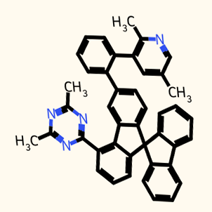 Cc1cnc(C)c(-c2ccccc2-c2ccc3c(c2)-c2c(-c4nc(C)nc(C)n4)cccc2C32c3ccccc3-c3ccccc32)c1